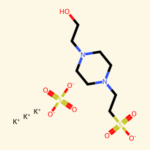 O=S(=O)([O-])CCN1CCN(CCO)CC1.O=S(=O)([O-])[O-].[K+].[K+].[K+]